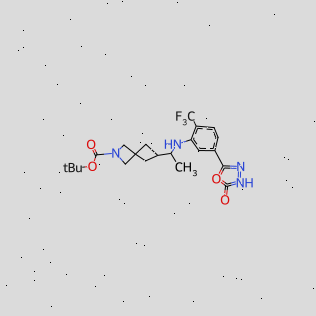 CC(Nc1cc(-c2n[nH]c(=O)o2)ccc1C(F)(F)F)C1CC2(C1)CN(C(=O)OC(C)(C)C)C2